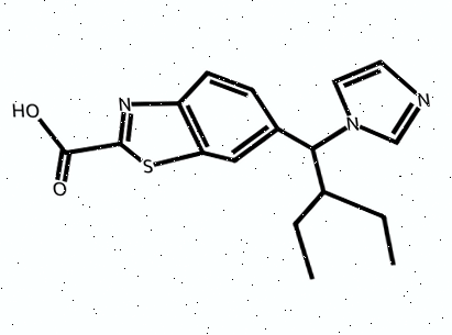 CCC(CC)C(c1ccc2nc(C(=O)O)sc2c1)n1ccnc1